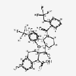 CCC[C@H]1N(C(=O)c2ncccc2CC(F)(F)F)CCC[C@@]1(Oc1csc(C(F)(F)F)c1)C(=O)N1CCc2cc(F)ccc2C1C(=O)O